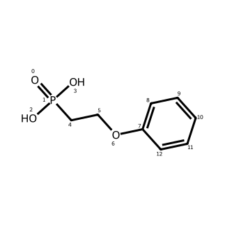 O=P(O)(O)CCOc1ccccc1